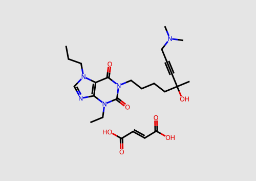 CCCn1cnc2c1c(=O)n(CCCCC(C)(O)C#CCN(C)C)c(=O)n2CC.O=C(O)/C=C/C(=O)O